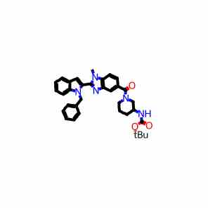 Cn1c(-c2cc3ccccc3n2Cc2ccccc2)nc2cc(C(=O)N3CCCC(NC(=O)OC(C)(C)C)C3)ccc21